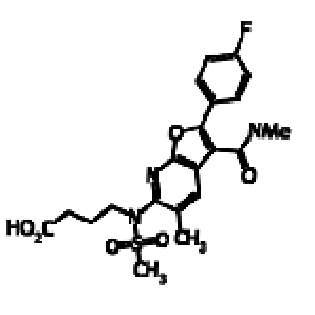 CNC(=O)c1c(-c2ccc(F)cc2)oc2nc(N(CCCC(=O)O)S(C)(=O)=O)c(C)cc12